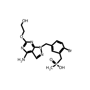 CP(=O)(O)Cc1cc(Cn2ncc3c(N)nc(OCCO)nc32)ccc1Br